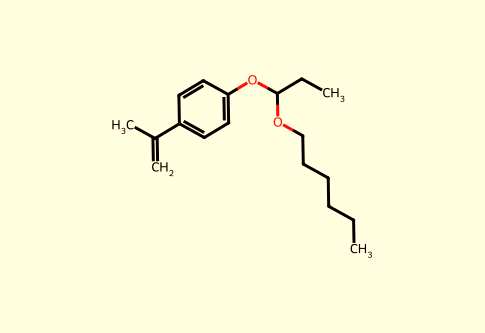 C=C(C)c1ccc(OC(CC)OCCCCCC)cc1